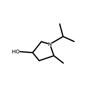 CC(C)N1CC(O)CC1C